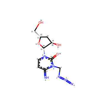 [N-]=[N+]=NCn1c(=N)ccn([C@@H]2O[C@H](CO)C[C@H]2O)c1=O